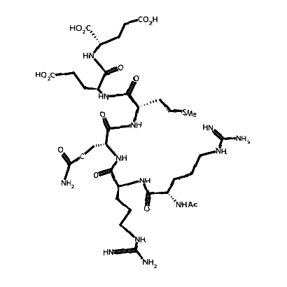 CSCC[C@H](NC(=O)[C@@H](CCC(N)=O)NC(=O)[C@H](CCCNC(=N)N)NC(=O)[C@H](CCCNC(=N)N)NC(C)=O)C(=O)N[C@@H](CCC(=O)O)C(=O)N[C@@H](CCC(=O)O)C(=O)O